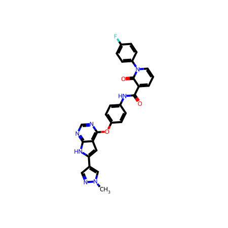 Cn1cc(-c2cc3c(Oc4ccc(NC(=O)c5cccn(-c6ccc(F)cc6)c5=O)cc4)ncnc3[nH]2)cn1